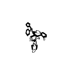 O=C(c1cnc(N2CCOCC2)nc1-c1ccccc1F)N(Cc1ccccc1)C1CCCCC1